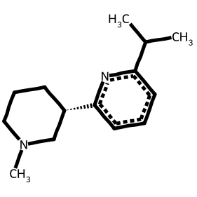 CC(C)c1cccc([C@H]2CCCN(C)C2)n1